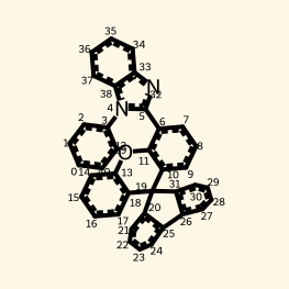 c1ccc(-n2c(-c3cccc4c3Oc3ccccc3C43c4ccccc4-c4ccccc43)nc3ccccc32)cc1